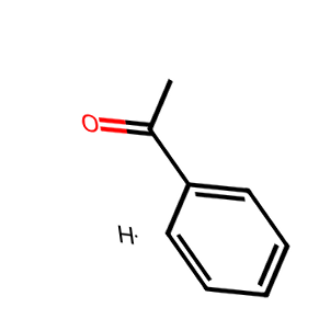 CC(=O)c1ccccc1.[H]